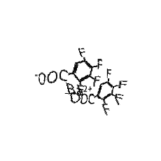 O=C([O-])c1cc(F)c(F)c(F)c1F.O=C([O-])c1cc(F)c(F)c(F)c1F.[Ba+2]